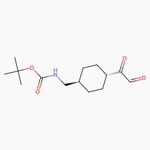 CC(C)(C)OC(=O)NC[C@H]1CC[C@H](C(=O)C=O)CC1